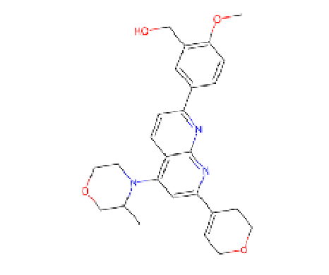 COc1ccc(-c2ccc3c(N4CCOCC4C)cc(C4=CCOCC4)nc3n2)cc1CO